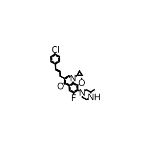 COc1c(N2CCNC(C)C2)c(F)cc2c(=O)c(CC=Cc3ccc(Cl)cc3)cn(C3CC3)c12